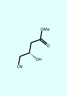 COC(=O)C[C@H](O)CC#N